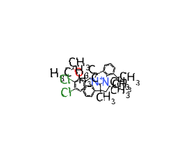 CC(C)Oc1c(C=[N+]=C2N(c3c(C(C)C)cccc3C(C)C)C(C)(C)CC2(C)c2ccccc2)ccc(Cl)c1Cl